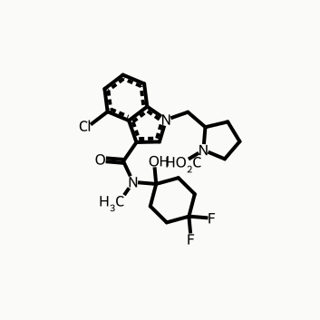 CN(C(=O)c1cn(CC2CCCN2C(=O)O)c2cccc(Cl)c12)C1(O)CCC(F)(F)CC1